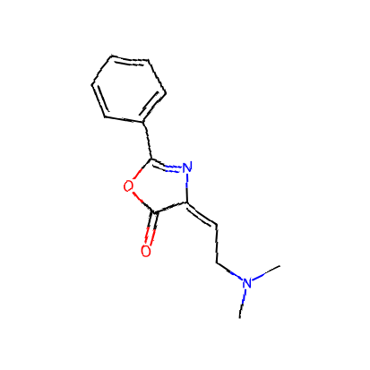 CN(C)CC=C1N=C(c2ccccc2)OC1=O